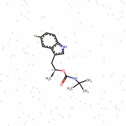 C[C@@H](Cc1c[nH]c2ccc(F)cc12)OC(=O)NC(C)(C)C